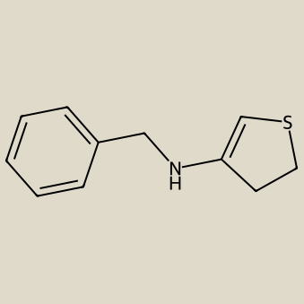 C1=C(NCc2ccccc2)CCS1